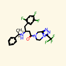 C[C@@H](NC(CC(=O)N1CCn2c(nnc2C(F)(F)F)C1)Cc1cc(F)c(F)cc1F)c1ccccc1